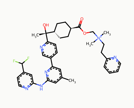 Cc1cc(Nc2cc(C(F)F)ccn2)nc(-c2ccc([C@](C)(O)[C@H]3CC[C@H](C(=O)OC[N+](C)(C)CCc4ccccn4)CC3)nc2)c1